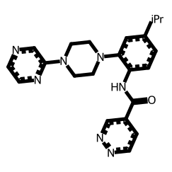 CC(C)c1ccc(NC(=O)c2ccnnc2)c(N2CCN(c3cnccn3)CC2)c1